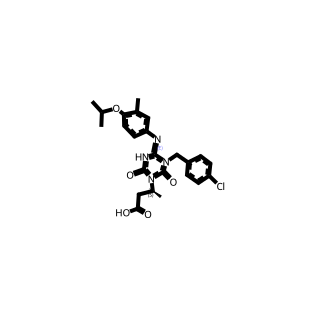 Cc1cc(/N=c2\[nH]c(=O)n([C@@H](C)CC(=O)O)c(=O)n2Cc2ccc(Cl)cc2)ccc1OC(C)C